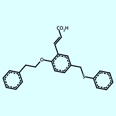 O=C(O)C=Cc1cc(CSc2ccccc2)ccc1OCCc1ccccc1